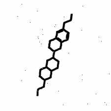 CCCc1ccc2c(c1)CCC(C1CCC3CC(CCC)CCC3C1)C2